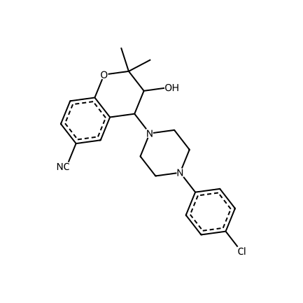 CC1(C)Oc2ccc(C#N)cc2C(N2CCN(c3ccc(Cl)cc3)CC2)C1O